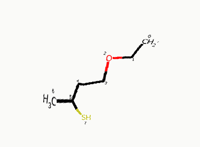 [CH2]COCCC(C)S